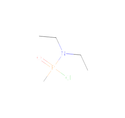 CCN(CC)P(C)(=O)Cl